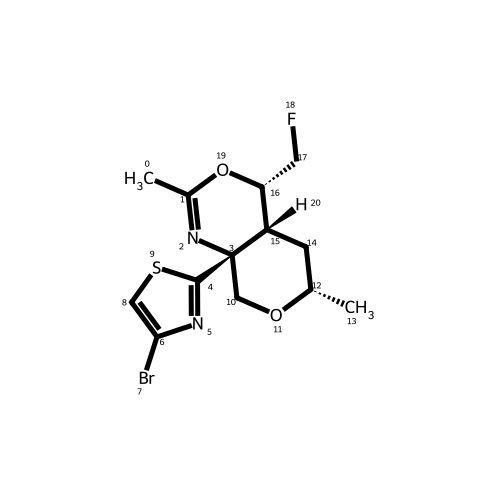 CC1=N[C@@]2(c3nc(Br)cs3)CO[C@@H](C)C[C@H]2[C@@H](CF)O1